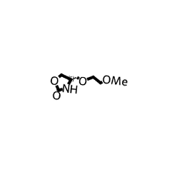 COCCOC[C@H]1COC(=O)N1